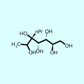 CCC[C@](O)(C(C)O)[C@@H](O)[C@H](O)[C@H](O)CO